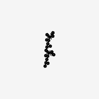 c1ccc(-c2nc(-c3ccc(-c4ccc(-c5ccc(-c6cccc(-c7nc(-c8ccc(-c9ccc(-c%10ccc(-c%11ccccc%11)c%11ccccc%10%11)cc9)c9ccccc89)nc(-c8cccc9c8sc8ccccc89)n7)c6)cc5-c5ccccc5)cc4)c4ccccc34)nc(-c3cccc4c3sc3ccccc34)n2)cc1